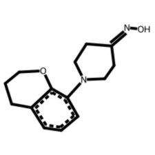 ON=C1CCN(c2cccc3c2OCCC3)CC1